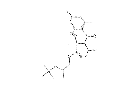 Cc1cc(C)c(C(=O)C(C(C)C)C(C)(P=O)C(=O)OCC(C)CC(C)(C)C)c(C)c1